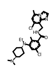 CCN(c1cc(Cl)cc(C(=O)NCc2c(Cl)cc(C)n3ccnc23)c1C)[C@H]1CC[C@H](N(C)C)CC1